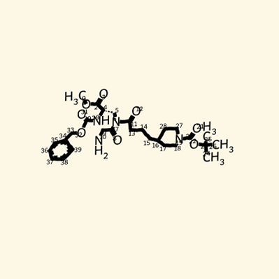 COC(=O)[C@H](CN(C(=O)CN)C(=O)CCCC1CCN(C(=O)OC(C)(C)C)CC1)NC(=O)OCc1ccccc1